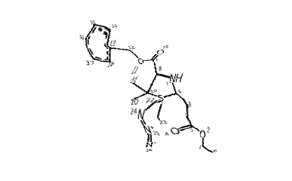 CCOC(=O)CC1NC(C(=O)OCc2ccccc2)C(C)(C)S1(C)N=[N+]=[N-]